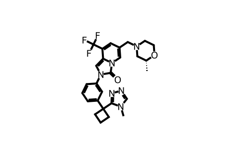 C[C@@H]1CN(Cc2cc(C(F)(F)F)c3cn(-c4cccc(C5(c6nncn6C)CCC5)c4)c(=O)n3c2)CCO1